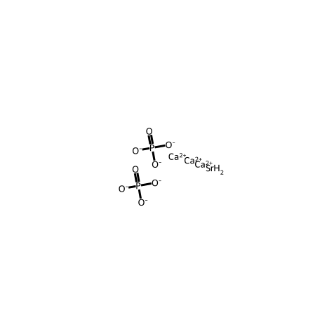 O=P([O-])([O-])[O-].O=P([O-])([O-])[O-].[Ca+2].[Ca+2].[Ca+2].[SrH2]